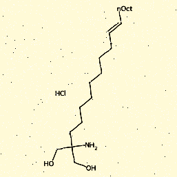 CCCCCCCCC=CCCCCCCCCC(N)(CO)CO.Cl